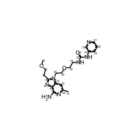 COCCc1nc2c(N)nc(C)cc2n1CCOCCNC(=O)Nc1cccnc1